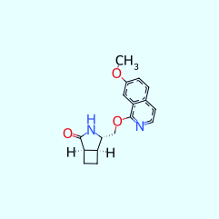 COc1ccc2ccnc(OC[C@H]3NC(=O)[C@@H]4CC[C@H]34)c2c1